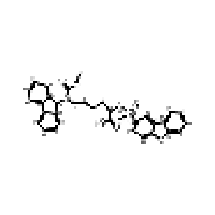 COC(=O)N(CCCCC(NS(=O)(=O)c1ccc2oc3ccccc3c2c1)C(=O)O)C1c2ccccc2-c2ccccc21